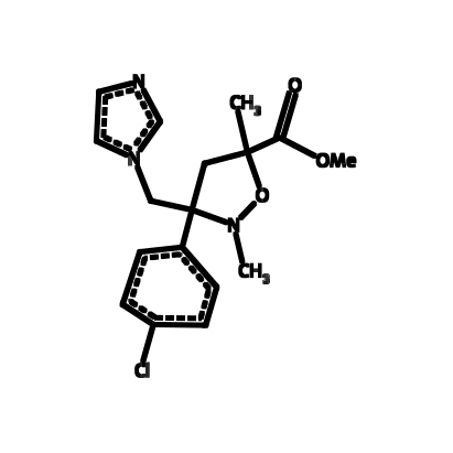 COC(=O)C1(C)CC(Cn2ccnc2)(c2ccc(Cl)cc2)N(C)O1